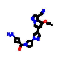 COc1cc(-c2cnn([C@@H]3CCN(C(=O)[C@H]4C[C@@H](N)C4)C3)c2)cn2ncc(C#N)c12